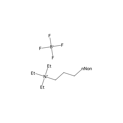 CCCCCCCCCCCC[N+](CC)(CC)CC.F[B-](F)(F)F